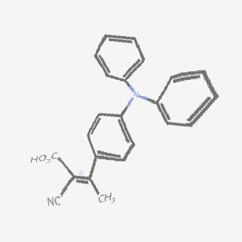 C/C(=C(\C#N)C(=O)O)c1ccc(N(c2ccccc2)c2ccccc2)cc1